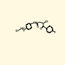 CCNSc1ccc(NC(=O)CN(CC)C(=O)c2ccc(F)cc2)cc1